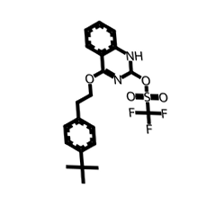 CC(C)(C)c1ccc(CCOC2=NC(OS(=O)(=O)C(F)(F)F)Nc3ccccc32)cc1